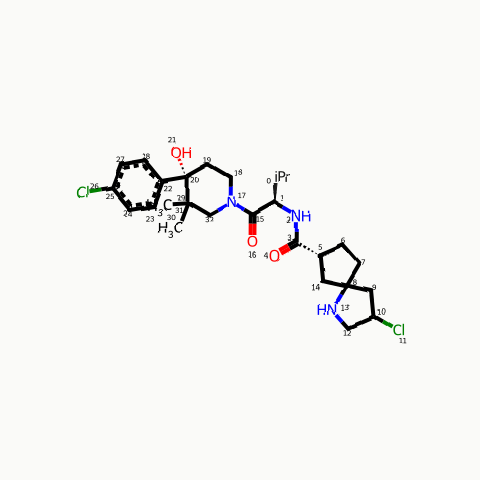 CC(C)[C@@H](NC(=O)[C@@H]1CCC2(CC(Cl)CN2)C1)C(=O)N1CC[C@](O)(c2ccc(Cl)cc2)C(C)(C)C1